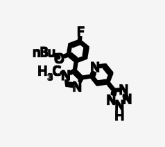 CCCCOc1cc(F)ccc1-c1c(-c2cc(-c3nn[nH]n3)ccn2)ncn1C